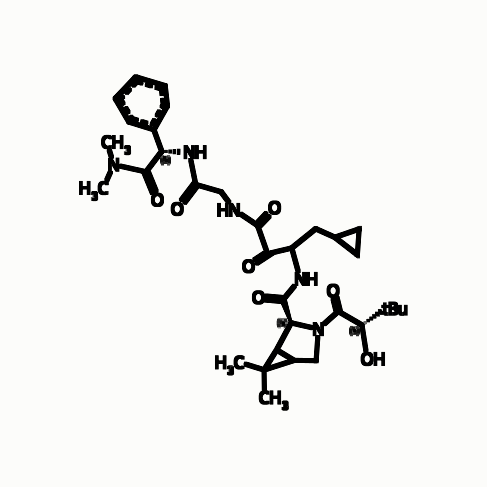 CN(C)C(=O)[C@@H](NC(=O)CNC(=O)C(=O)C(CC1CC1)NC(=O)[C@@H]1C2C(CN1C(=O)[C@@H](O)C(C)(C)C)C2(C)C)c1ccccc1